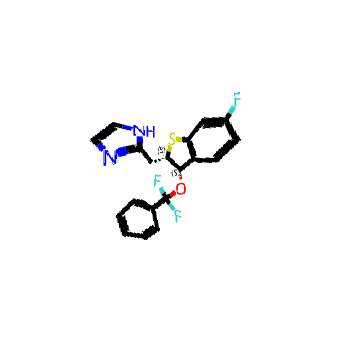 Fc1ccc2c(c1)S[C@@H](Cc1ncc[nH]1)[C@H]2OC(F)(F)c1ccccc1